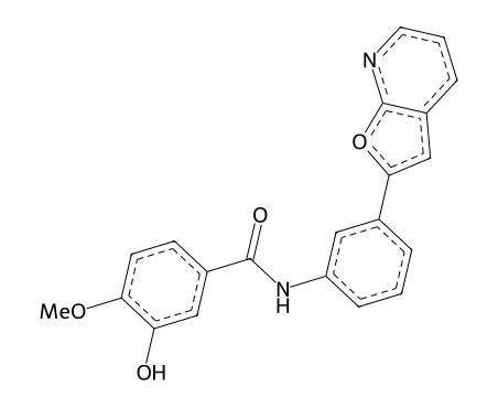 COc1ccc(C(=O)Nc2cccc(-c3cc4cccnc4o3)c2)cc1O